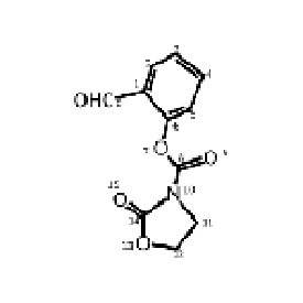 O=Cc1ccccc1OC(=O)N1CCOC1=O